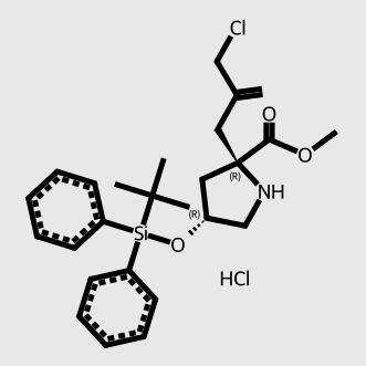 C=C(CCl)C[C@]1(C(=O)OC)C[C@@H](O[Si](c2ccccc2)(c2ccccc2)C(C)(C)C)CN1.Cl